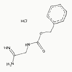 Cl.N=C(N)CNC(=O)OCc1ccccc1